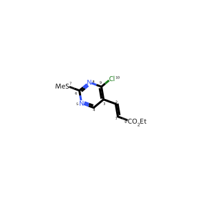 CCOC(=O)/C=C/c1cnc(SC)nc1Cl